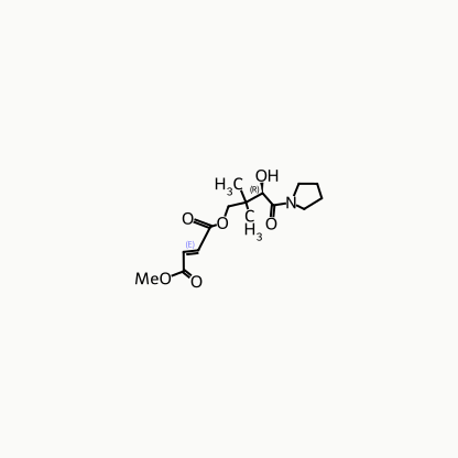 COC(=O)/C=C/C(=O)OCC(C)(C)[C@@H](O)C(=O)N1CCCC1